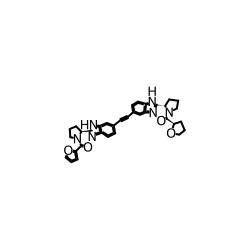 O=C(c1ccco1)N1CCC[C@H]1c1nc2ccc(C#Cc3ccc4[nH]c([C@@H]5CCCN5C(=O)[C@H]5CCCO5)nc4c3)cc2[nH]1